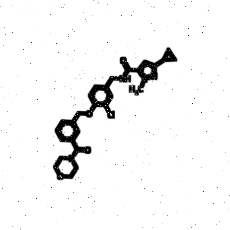 Cn1nc(C2CC2)cc1C(=O)NCc1ccc(OCc2cccc(C(=O)N3CCOCC3)c2)c(Cl)c1